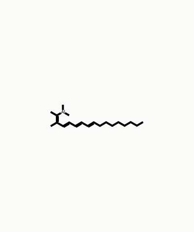 CCCCCCCCC=CC=CC=CC(C)=[C](C)[Al]([CH3])[CH3]